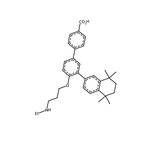 CCNCCCOc1ccc(-c2ccc(C(=O)O)cc2)cc1-c1ccc2c(c1)C(C)(C)CCC2(C)C